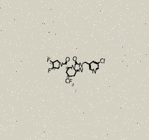 O=C([C@H]1C[C@@H](C(F)(F)F)Cc2nn(Cc3cncc(Cl)c3)c(=O)n21)N1C[C@@H](F)[C@@H](F)C1